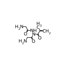 C=C(C)C(=O)N(NC(=O)CN)C(=O)CN